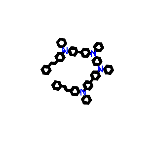 C(=Cc1ccc(N(c2ccccc2)c2ccc(-c3ccc(N(c4ccccc4)c4ccc(N(c5ccccc5)c5ccc(-c6ccc(N(c7ccc(C=Cc8ccccc8)cc7)C7CCCCC7)cc6)cc5)cc4)cc3)cc2)cc1)c1ccccc1